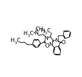 CCCCc1ccc(C(=O)N(CCN(C)C)C(CC)c2nc3ccccc3c(=O)n2Cc2ccccc2)cc1